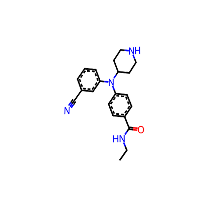 CCNC(=O)c1ccc(N(c2cccc(C#N)c2)C2CCNCC2)cc1